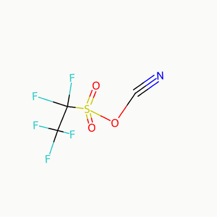 N#COS(=O)(=O)C(F)(F)C(F)(F)F